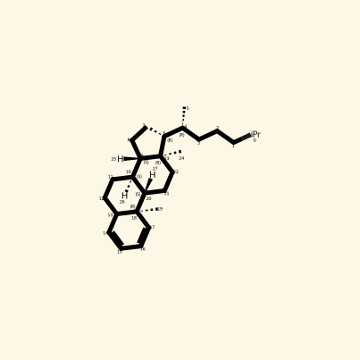 CC(C)CCC[C@@H](C)[C@H]1CC[C@H]2[C@@H]3CCC4C=CC=C[C@]4(C)[C@H]3CC[C@]12C